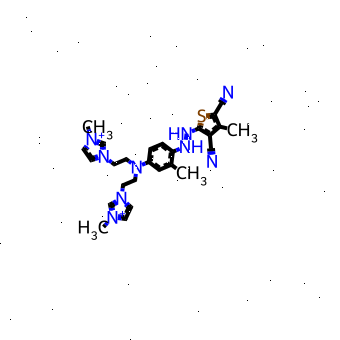 Cc1cc(N(CCn2cc[n+](C)c2)CCn2cc[n+](C)c2)ccc1NNc1sc(C#N)c(C)c1C#N